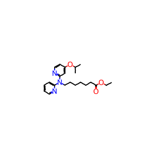 CCOC(=O)CCCCCCN(c1ccccn1)c1cc(OC(C)C)ccn1